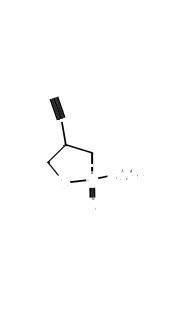 C#CC1CSP(=S)(SC)C1